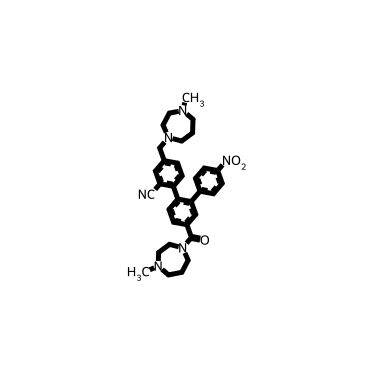 CN1CCCN(Cc2ccc(-c3ccc(C(=O)N4CCCN(C)CC4)cc3-c3ccc([N+](=O)[O-])cc3)c(C#N)c2)CC1